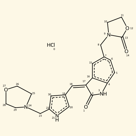 Cl.O=C1Nc2ccc(CN3CCOC3=O)cc2C1=Cc1c[nH]c(CN2CCOCC2)c1